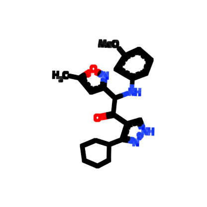 COc1cccc(NC(C(=O)c2c[nH]nc2C2CCCCC2)c2cc(C)on2)c1